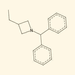 CCC1CN(C(c2ccccc2)c2ccccc2)C1